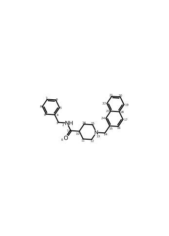 O=C(NCc1ccccc1)C1CCN(Cc2ccc3ccccc3c2)CC1